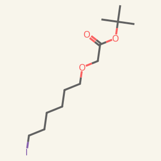 CC(C)(C)OC(=O)COCCCCCCI